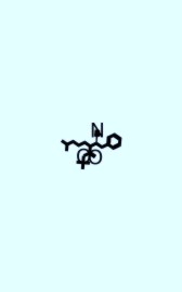 CC(C)CCCC(C(=O)OC(C)(C)C)[C@@H](C#N)Cc1ccccc1